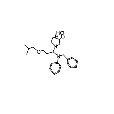 CC(C)COCCC(N1CCCC1)N(Cc1ccccc1)c1ccccc1.Cl.O